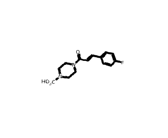 O=C(O)N1CCN(C(=O)C=Cc2ccc(F)cc2)CC1